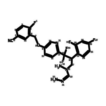 N#Cc1ccc(F)c(COc2ccc(C(F)(F)C(CN(N)/C=N\N)c3ccc(F)cc3F)nc2)c1